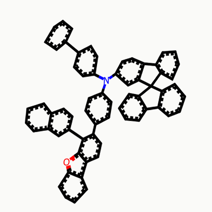 c1ccc(-c2ccc(N(c3ccc(-c4ccc5c(oc6ccccc65)c4-c4ccc5ccccc5c4)cc3)c3ccc4c(c3)C3(c5ccccc5-c5ccccc53)c3ccccc3-4)cc2)cc1